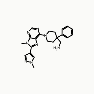 Cn1cc(-c2nc3c(N4CCC(CN)(c5ccccc5)CC4)ncnc3n2C)cn1